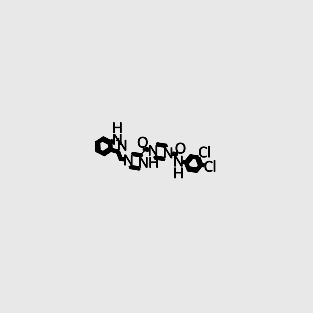 O=C(Nc1ccc(Cl)c(Cl)c1)N1CCN(C(=O)[C@H]2CN(Cc3n[nH]c4ccccc34)CCN2)CC1